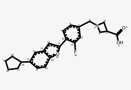 O=C(O)C1CN(Cc2ccc(-c3cc4cc(C5CCCC5)ccc4o3)c(F)c2)C1